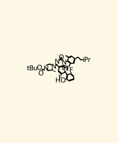 Cc1cc(CCC(C)C)cc(C(C)C)c1-n1c(=O)nc(N2CCN(C(=O)OC(C)(C)C)C[C@@H]2C)c2cc(F)c(-c3c(O)cccc3F)nc21